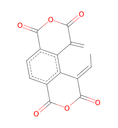 C=C1C(=O)OC(=O)c2ccc3c(c21)/C(=C\C)C(=O)OC3=O